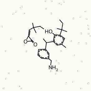 CCC(C)(C)C=C1OC1=O.CCC(C)(C)c1cc(C)cc(C(C)c2cccc(CN)c2)c1O